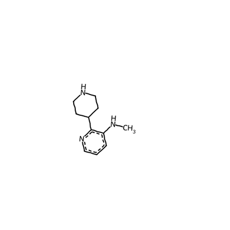 CNc1cccnc1C1CCNCC1